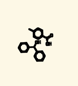 Cc1ccc(S(=O)O)cc1.OC(c1ccccc1)c1ccccc1